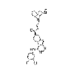 O=C(/C=C/CN1C2CCCC23CC2(CO2)C13)N1CCc2c(sc3ncnc(Nc4ccc(F)c(Cl)c4)c23)C1